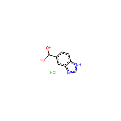 Cl.OB(O)c1ccc2[nH]cnc2c1